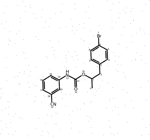 CC(Cc1ccc(Br)cc1)OC(=O)Nc1cccc(C#N)c1